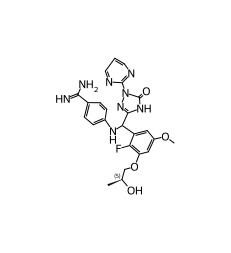 COc1cc(OC[C@H](C)O)c(F)c(C(Nc2ccc(C(=N)N)cc2)c2nn(-c3ncccn3)c(=O)[nH]2)c1